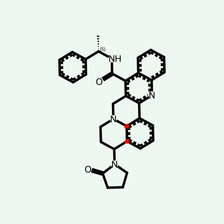 C[C@H](NC(=O)c1c(CN2CCC(N3CCCC3=O)CC2)c(-c2ccccc2)nc2ccccc12)c1ccccc1